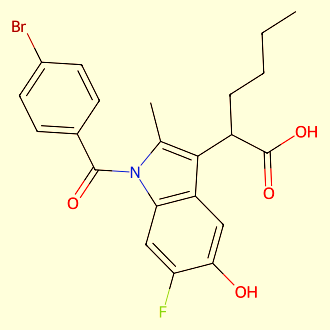 CCCCC(C(=O)O)c1c(C)n(C(=O)c2ccc(Br)cc2)c2cc(F)c(O)cc12